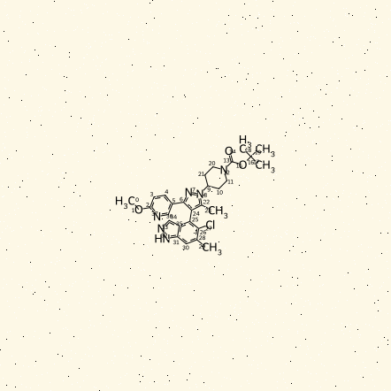 COc1ccc(-c2nn(C3CCN(C(=O)OC(C)(C)C)CC3)c(C)c2-c2c(Cl)c(C)cc3[nH]ncc23)cn1